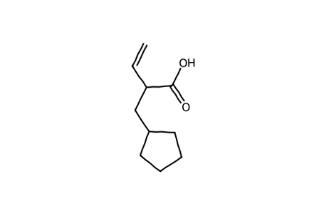 C=CC(CC1CCCC1)C(=O)O